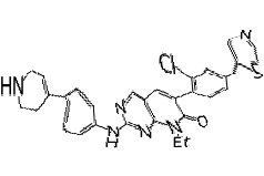 CCn1c(=O)c(-c2ccc(-c3cncs3)cc2Cl)cc2cnc(Nc3ccc(C4=CCNCC4)cc3)nc21